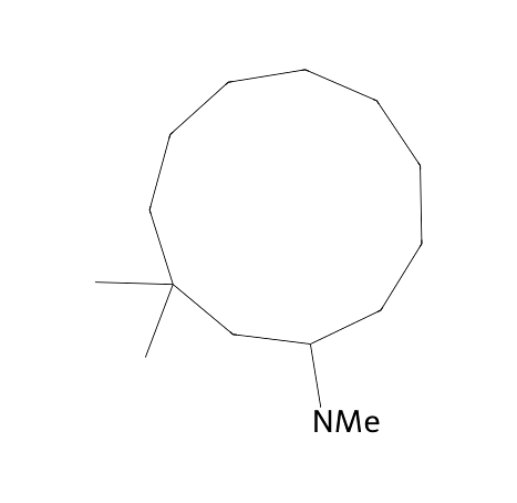 CNC1CCCCCCCCC(C)(C)C1